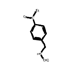 CC[S+]([O-])c1ccc(CNC=O)cc1